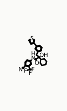 N#Cc1ccc(NC(=O)C(O)(Cc2cccc(-c3ccsc3)c2)C2CCCCC2)cc1C(F)(F)F